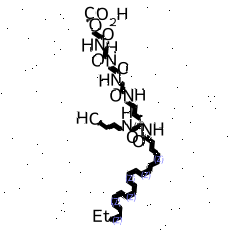 C#CCCCNC(=O)[C@H](CCCCNC(=O)CNC(=O)CNC(=O)CNC(=O)COCC(=O)O)NC(=O)CC/C=C\C/C=C\C/C=C\C/C=C\C/C=C\C/C=C\CC